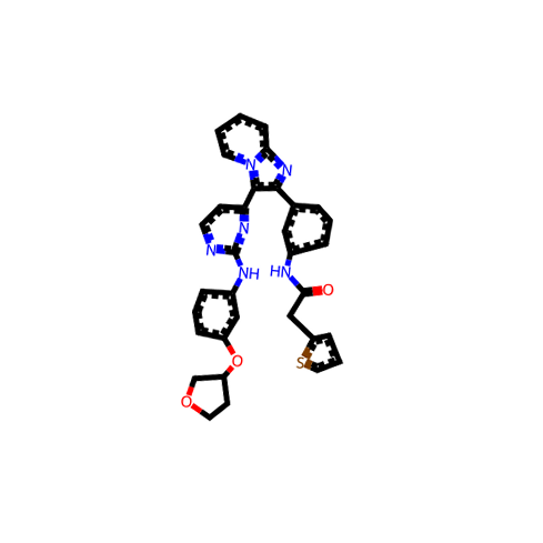 O=C(Cc1cccs1)Nc1cccc(-c2nc3ccccn3c2-c2ccnc(Nc3cccc(OC4CCOC4)c3)n2)c1